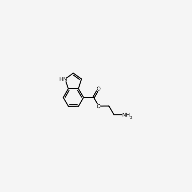 NCCOC(=O)c1cccc2[nH]ccc12